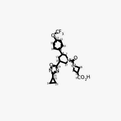 O=C(O)C1CN(C(=O)N2CC(c3ccc(OC(F)(F)F)cc3)CC(c3nc(C4CC4)no3)C2)C1